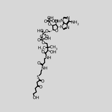 CC(C)(COP(=O)(O)OP(=O)(O)OC[C@H]1O[C@@H](n2cnc3c(N)ncnc32)[C@H](O)[C@@H]1OP(=O)(O)O)[C@@H](O)C(=O)NCCC(=O)NCCSC(=O)CC(=O)CCCO